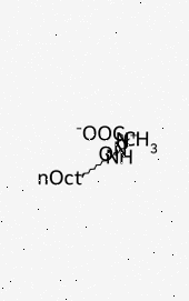 CCCCCCCCC=CCCCCCCCC(=O)NCCN1C#CC(C)=[N+](CC(=O)[O-])CC1